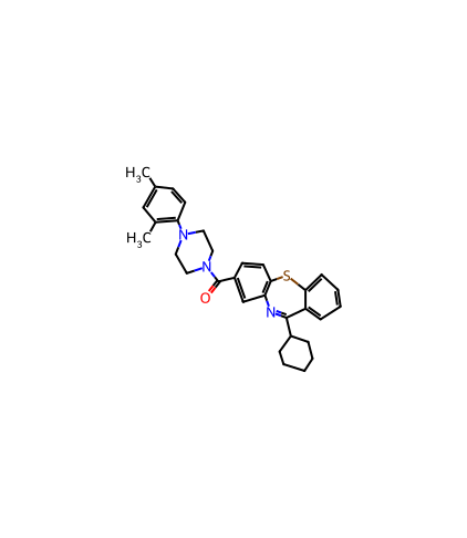 Cc1ccc(N2CCN(C(=O)c3ccc4c(c3)N=C(C3CCCCC3)c3ccccc3S4)CC2)c(C)c1